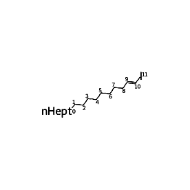 CCCCCCCCCCCCCCCC=CI